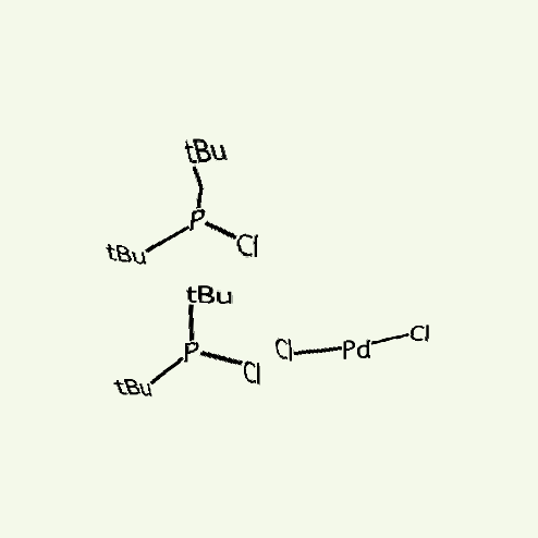 CC(C)(C)P(Cl)C(C)(C)C.CC(C)(C)P(Cl)C(C)(C)C.[Cl][Pd][Cl]